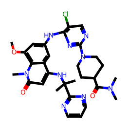 COc1cc(Nc2nc(N3CCC(C(=O)N(C)C)CC3)ncc2Cl)cc2c(NC(C)(C)c3ncccn3)cc(=O)n(C)c12